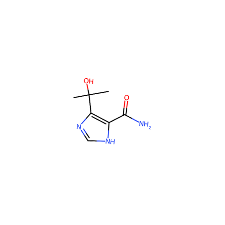 CC(C)(O)c1nc[nH]c1C(N)=O